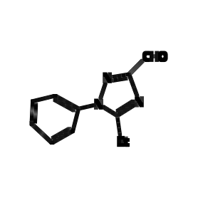 CCc1nc(C=O)nn1-c1ccccc1